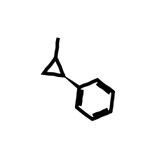 CC1C[C@@H]1c1ccccc1